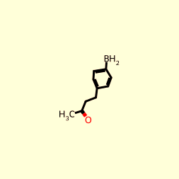 Bc1ccc(CCC(C)=O)cc1